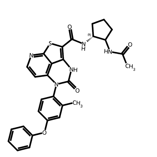 CC(=O)NC1CCC[C@H]1NC(=O)c1sc2nccc3c2c1NC(=O)N3c1ccc(Oc2ccccc2)cc1C